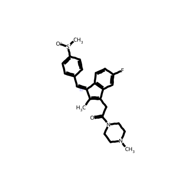 CC1=C(CC(=O)N2CCN(C)CC2)c2cc(F)ccc2/C1=C\c1ccc([S+](C)[O-])cc1